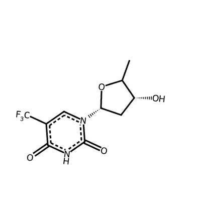 CC1O[C@@H](n2cc(C(F)(F)F)c(=O)[nH]c2=O)C[C@H]1O